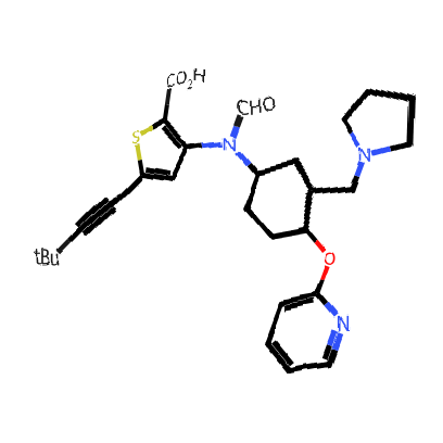 CC(C)(C)C#Cc1cc(N(C=O)C2CCC(Oc3ccccn3)C(CN3CCCC3)C2)c(C(=O)O)s1